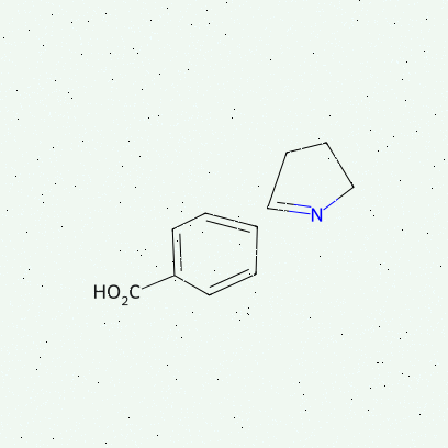 C1=NCCC1.O=C(O)c1ccccc1